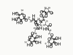 C[C@@H]1O[C@@H](OCCNC(=O)CC[C@@H](C(=O)ON2C(=O)CCC2=O)N(CC(=O)NCCO[C@@H]2O[C@@H](C)[C@@H](O)[C@@H](O)[C@@H]2O)CC(=O)NCCO[C@@H]2O[C@@H](C)[C@@H](O)[C@@H](O)[C@@H]2O)[C@@H](O)[C@H](O)[C@@H]1O